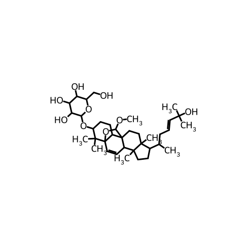 COC1OC23C=CC4C1(CCC1(C)C(C(C)C/C=C/C(C)(C)O)CCC41C)C2CCC(OC1OC(CO)C(O)C(O)C1O)C3(C)C